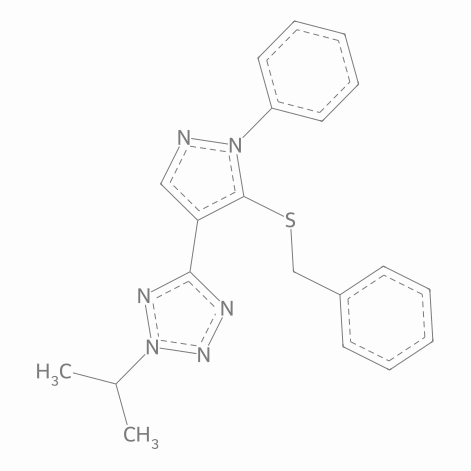 CC(C)n1nnc(-c2cnn(-c3ccccc3)c2SCc2ccccc2)n1